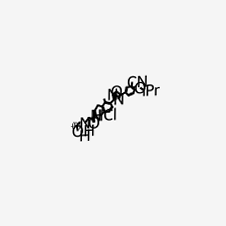 Cc1c(-c2noc(-c3ccc(OC(C)C)c(C#N)c3)n2)ccc2c1CCN(C(=O)CNC[C@@H](C)O)C2.Cl